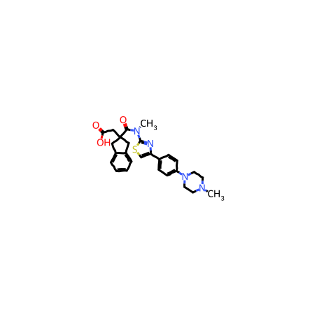 CN1CCN(c2ccc(-c3csc(N(C)C(=O)C4(CC(=O)O)Cc5ccccc5C4)n3)cc2)CC1